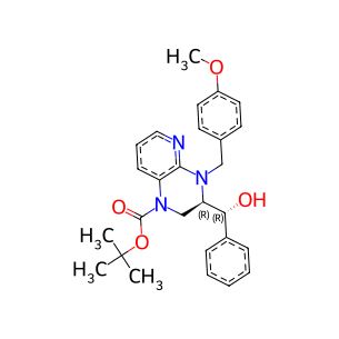 COc1ccc(CN2c3ncccc3N(C(=O)OC(C)(C)C)C[C@@H]2[C@H](O)c2ccccc2)cc1